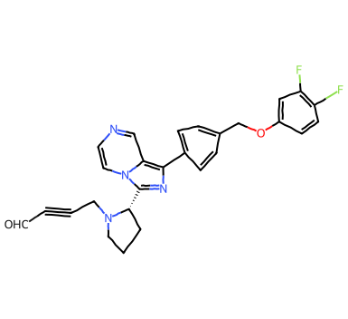 O=CC#CCN1CCC[C@H]1c1nc(-c2ccc(COc3ccc(F)c(F)c3)cc2)c2cnccn12